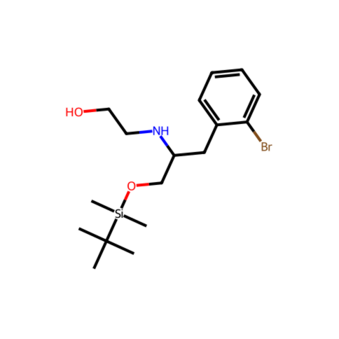 CC(C)(C)[Si](C)(C)OCC(Cc1ccccc1Br)NCCO